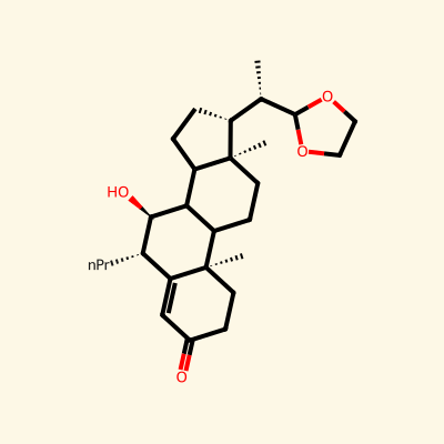 CCC[C@H]1C2=CC(=O)CC[C@]2(C)C2CC[C@@]3(C)C(CC[C@@H]3[C@H](C)C3OCCO3)C2[C@@H]1O